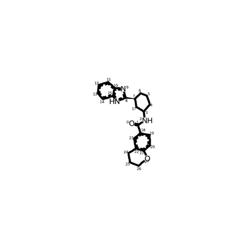 O=C(NC1CCC[C@H](c2nc3ccccc3[nH]2)C1)c1ccc2c(c1)CCCO2